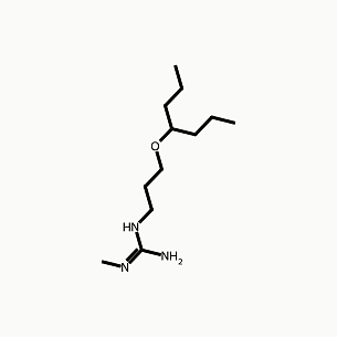 CCCC(CCC)OCCCN/C(N)=N\C